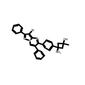 CC1(O)CC(N)(c2ccc(-c3nc4c(Br)c(-c5ccccc5)nn4cc3-c3ccccc3)cc2)C1